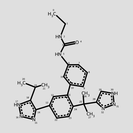 CCNC(=O)Nc1cccc(-c2cc(-c3nn[nH]c3C(C)C)ccc2C(C)(C)c2c[nH]nn2)c1